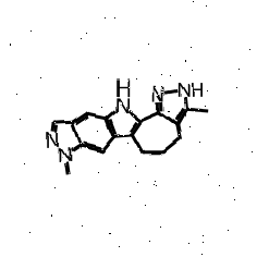 Cc1[nH]nc2c1CCCc1c-2[nH]c2cc3cnn(C)c3cc12